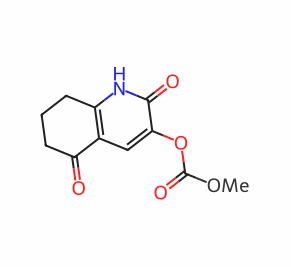 COC(=O)Oc1cc2c([nH]c1=O)CCCC2=O